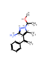 C=C(c1ccccc1)c1c(N)nn(C(C)OCC)c1C(F)(F)F